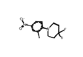 Cc1cc([N+](=O)[O-])ccc1N1CCC(F)(F)CC1